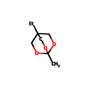 CCC12COC(C)(OC1)OC2